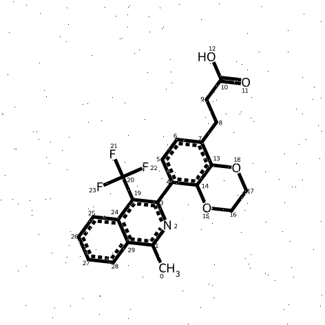 Cc1nc(-c2ccc(CCC(=O)O)c3c2OCCO3)c(C(F)(F)F)c2ccccc12